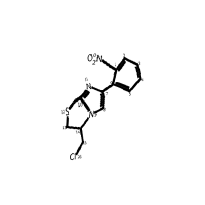 O=[N+]([O-])c1ccccc1-c1cn2c(n1)SCC2CCl